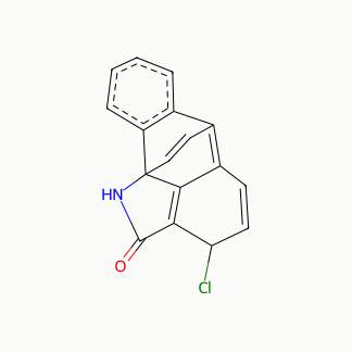 O=C1NC23C=CC(=C4C=CC(Cl)C1=C42)c1ccccc13